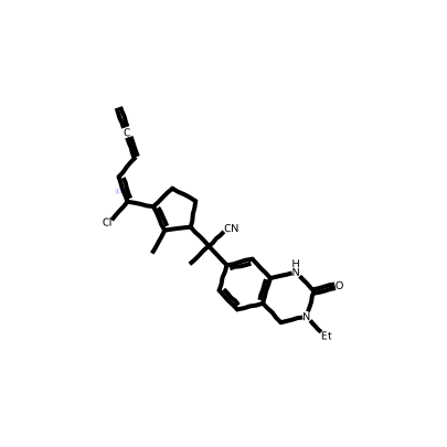 C=C=C/C=C(/Cl)C1=C(C)C(C(C)(C#N)c2ccc3c(c2)NC(=O)N(CC)C3)CC1